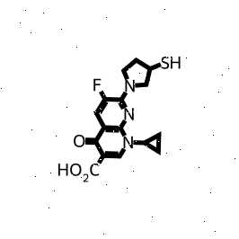 O=C(O)c1cn(C2CC2)c2nc(N3CCC(S)C3)c(F)cc2c1=O